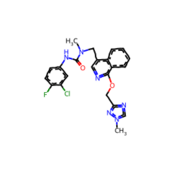 CN(Cc1cnc(OCc2ncn(C)n2)c2ccccc12)C(=O)Nc1ccc(F)c(Cl)c1